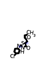 Cc1ccc(/C=C2\S/C(=N/c3ccc(Cl)cc3)NC2=O)o1